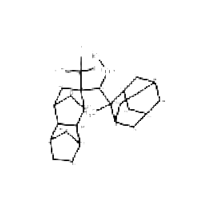 CC1(C(OO)C2(C(F)(F)F)CC3CC2C2C4CCC(C4)C32)C2CC3CC(C2)CC1C3